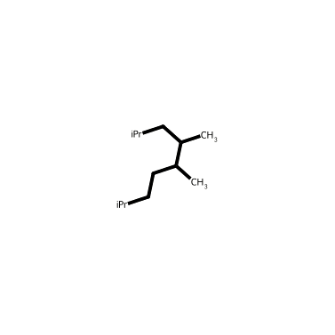 [CH2]C(C)CC(C)C(C)CCC(C)C